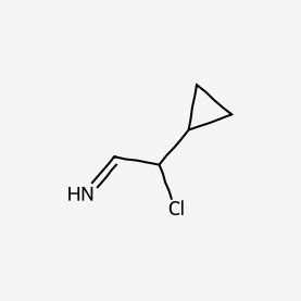 N=CC(Cl)C1CC1